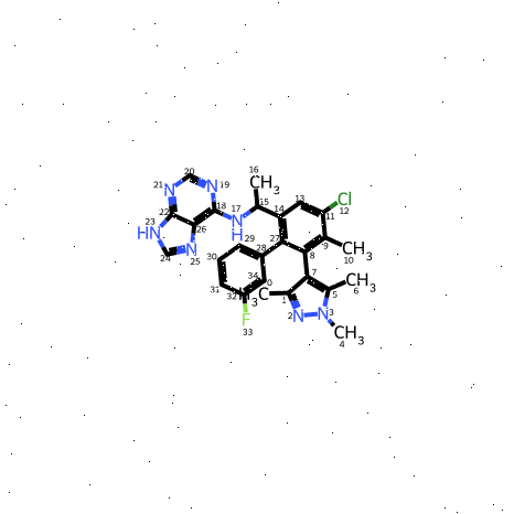 Cc1nn(C)c(C)c1-c1c(C)c(Cl)cc(C(C)Nc2ncnc3[nH]cnc23)c1-c1cccc(F)c1